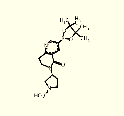 CC1(C)OB(c2cnc3c(c2)C(=O)N([C@H]2CCN(C(=O)O)C2)CC3)OC1(C)C